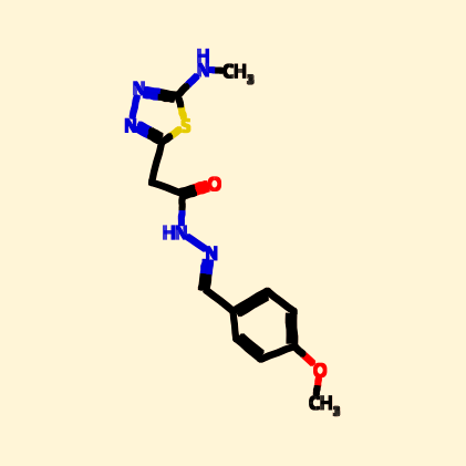 CNc1nnc(CC(=O)N/N=C/c2ccc(OC)cc2)s1